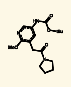 COc1ncc(NC(=O)OC(C)(C)C)cc1CC(=O)N1CCCC1